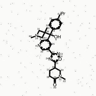 CC(C)c1ccc(C(O)(c2cncc(-c3noc(C4CCC(=O)N(C)C4)n3)c2)C2(C)CN(C)C2)cc1